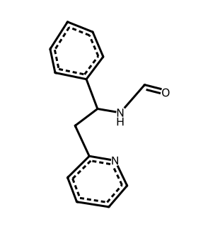 O=CNC(Cc1ccccn1)c1ccccc1